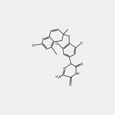 Cc1cc(Cl)nc2c1CC(C)(Oc1c(Cl)cc(-n3nc(N)c(=O)[nH]c3=O)cc1Cl)C=C2